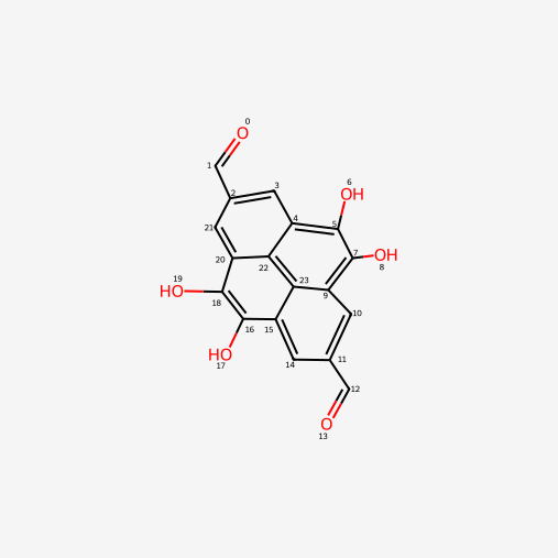 O=Cc1cc2c(O)c(O)c3cc(C=O)cc4c(O)c(O)c(c1)c2c34